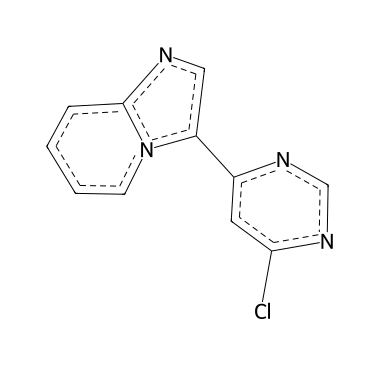 Clc1cc(-c2cnc3ccccn23)ncn1